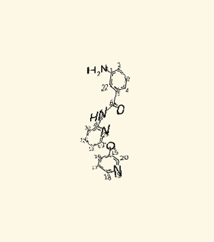 Nc1cccc(C(=O)Nc2cccc(Oc3cccnc3)n2)c1